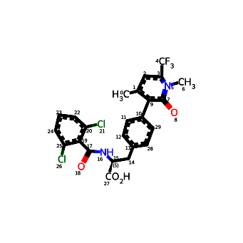 Cc1cc(C(F)(F)F)n(C)c(=O)c1-c1ccc(C[C@H](NC(=O)c2c(Cl)cccc2Cl)C(=O)O)cc1